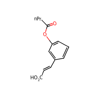 CCCC(=O)Oc1cccc(C=CC(=O)O)c1